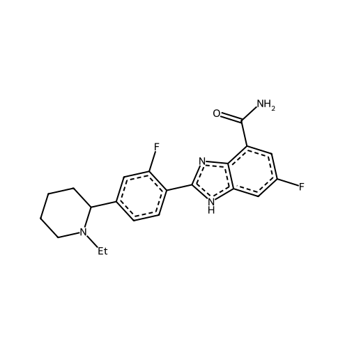 CCN1CCCCC1c1ccc(-c2nc3c(C(N)=O)cc(F)cc3[nH]2)c(F)c1